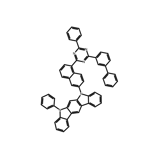 c1ccc(-c2cccc(-c3nc(-c4ccccc4)nc(-c4cccc5cc(-n6c7ccccc7c7cc8c9ccccc9n(-c9ccccc9)c8cc76)ccc45)n3)c2)cc1